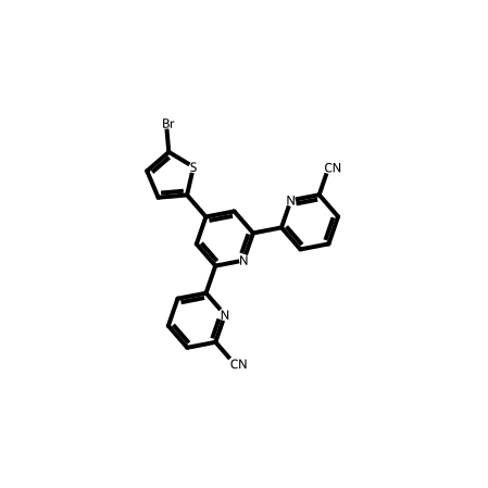 N#Cc1cccc(-c2cc(-c3ccc(Br)s3)cc(-c3cccc(C#N)n3)n2)n1